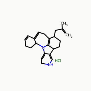 C=C(C)CC1CCC2C3=CNCC=C3N3C2=C1CC=C1C=CCCC13.Cl